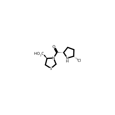 O=C(O)[C@@H]1CS[CH]N1C(=O)[C@@H]1CC[C@H](Cl)N1